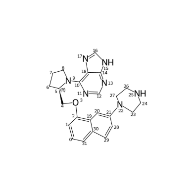 c1cc(OC[C@H]2CCCN2c2ncnc3[nH]cnc23)c2cc(N3CCNCC3)ccc2c1